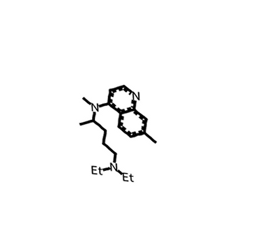 CCN(CC)CCCC(C)N(C)c1ccnc2cc(C)ccc12